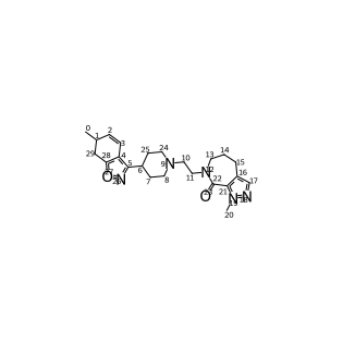 CC1C=Cc2c(C3CCN(CCN4CCCc5cnn(C)c5C4=O)CC3)noc2C1